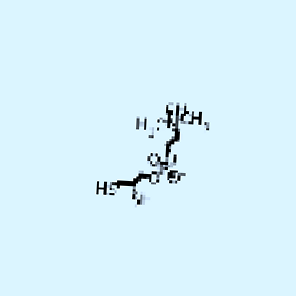 C[N+](C)(C)CCOP(=O)([O-])OC[C@H](S)CS